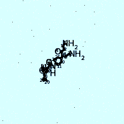 NCCC(=O)N(CCN)C1CCC(NC(=O)c2cc(C3CC3)on2)CC1